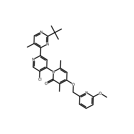 COc1cccc(COc2cc(C)n(-c3cc(-c4nc(C(C)(C)C)ncc4C)ncc3Cl)c(=O)c2C)n1